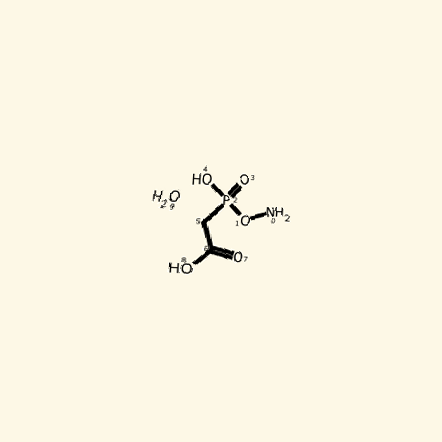 NOP(=O)(O)CC(=O)O.O